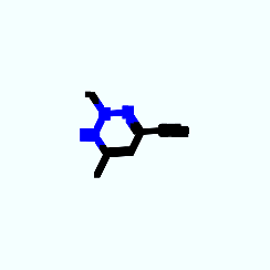 [CH2]N1N=C(OC)C=C(C)N1